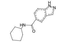 O=C(NC1CCCCC1)c1ccc2[nH]ncc2c1